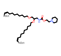 CCCCCCCC/C=C\CCCCCCCCOCC(CNC(=O)OCCN1CCCCC1)OCCCCCCCC/C=C\CCCCCCCC